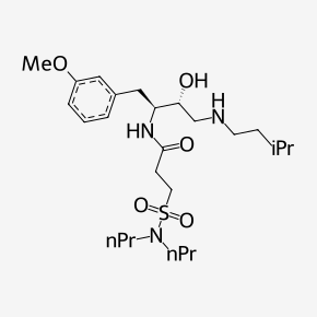 CCCN(CCC)S(=O)(=O)CCC(=O)N[C@@H](Cc1cccc(OC)c1)[C@H](O)CNCCC(C)C